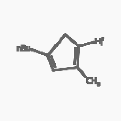 CCCCC1=CC(C)=[C]([Hf])C1